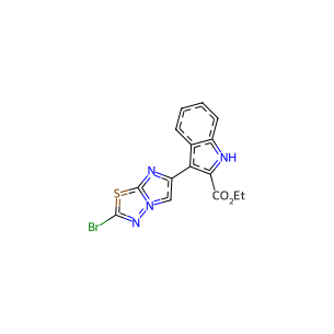 CCOC(=O)c1[nH]c2ccccc2c1-c1cn2nc(Br)sc2n1